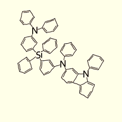 c1ccc(N(c2ccccc2)c2cccc([Si](c3ccccc3)(c3ccccc3)c3cccc(N(c4ccccc4)c4ccc5c6ccccc6n(-c6ccccc6)c5c4)c3)c2)cc1